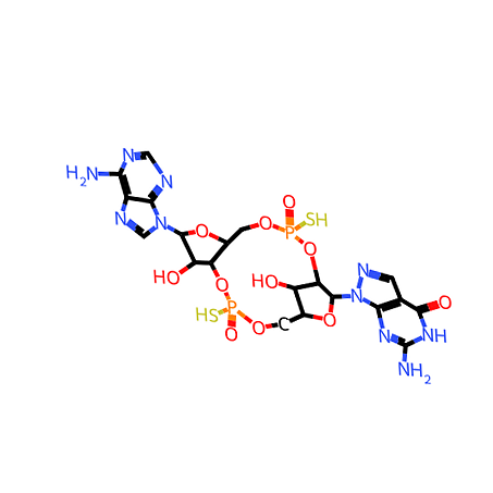 Nc1nc2c(cnn2C2OC3COP(=O)(S)OC4C(COP(=O)(S)OC2C3O)OC(n2cnc3c(N)ncnc32)C4O)c(=O)[nH]1